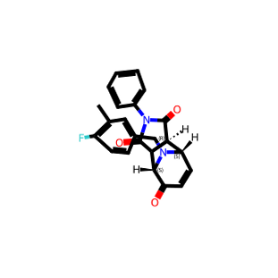 Cc1cc(CN2[C@@H]3C(=O)C=C[C@H]2[C@@H]2C(=O)N(c4ccccc4)C(=O)C23)ccc1F